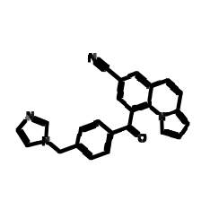 N#Cc1cc(C(=O)c2ccc(Cn3ccnc3)cc2)c2c(ccc3cccn32)c1